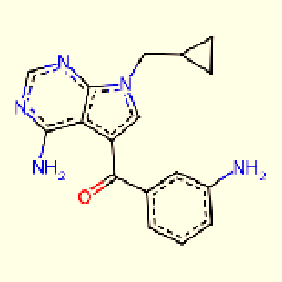 Nc1cccc(C(=O)c2cn(CC3CC3)c3ncnc(N)c23)c1